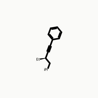 CC[C@@H](C#Cc1ccccc1)CC(C)C